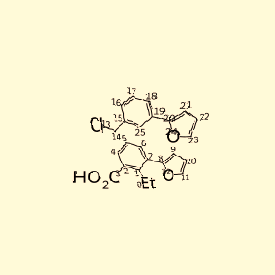 CCc1c(C(=O)O)cccc1-c1ccco1.ClCc1cccc(-c2ccco2)c1